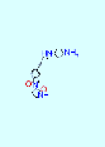 N[C@H]1CC[C@H](NCCC#Cc2ccc3c(c2)CN(C2CCCNC2=O)C3=O)CC1